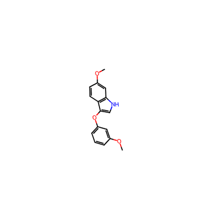 COc1cccc(Oc2c[nH]c3cc(OC)ccc23)c1